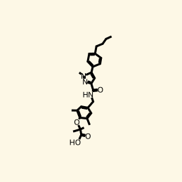 CCCCc1ccc(-c2cc(C(=O)NCc3cc(C)c(OC(C)(C)C(=O)O)c(C)c3)nn2C)cc1